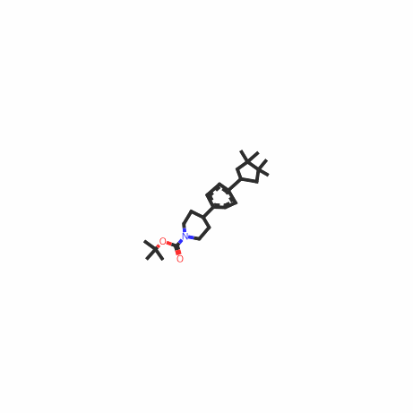 CC(C)(C)OC(=O)N1CCC(c2ccc(C3CC(C)(C)C(C)(C)C3)cc2)CC1